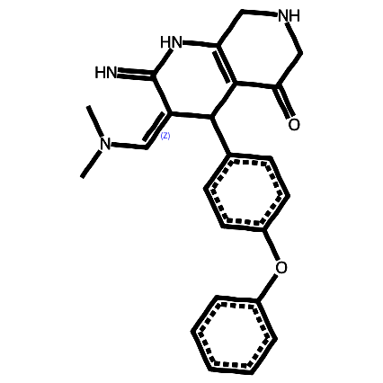 CN(C)/C=C1\C(=N)NC2=C(C(=O)CNC2)C1c1ccc(Oc2ccccc2)cc1